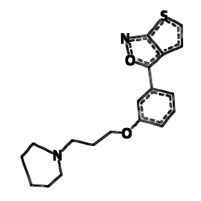 c1cc(OCCCN2CCCCC2)cc(-c2onc3sccc23)c1